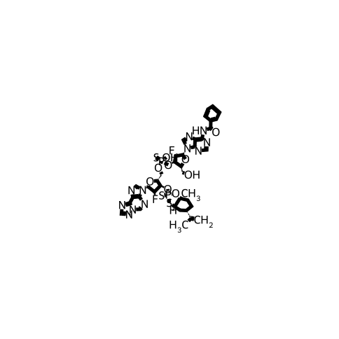 C=C(C)[C@H]1CC[C@@]2(C)OP(=S)(O[C@H]3[C@@H](F)[C@H](n4cnc5c4ncn4ncnc54)O[C@@H]3COP(O)(=S)O[C@H]3[C@@H](F)[C@H](n4cnc5c(NC(=O)c6ccccc6)ncnc54)O[C@@H]3CO)S[C@@H]2C1